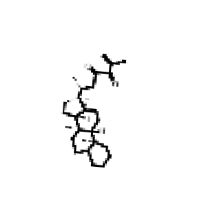 C=C(C)C(=O)C(=O)C[C@@H](C)[C@H]1CC[C@H]2[C@@H]3CCC4CCCC[C@]4(C)[C@H]3CC[C@]12C